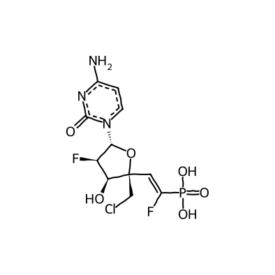 Nc1ccn([C@@H]2O[C@@](/C=C(\F)P(=O)(O)O)(CCl)[C@@H](O)[C@H]2F)c(=O)n1